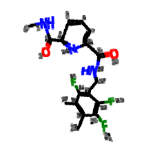 CNC(=O)c1cccc(C(=O)NCc2c(F)c(C)c(C)c(F)c2F)n1